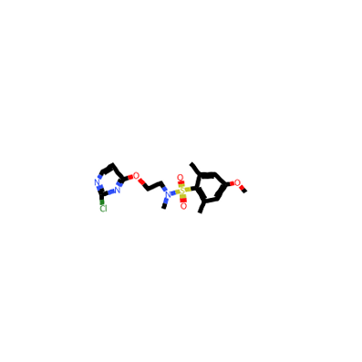 COc1cc(C)c(S(=O)(=O)N(C)CCOc2ccnc(Cl)n2)c(C)c1